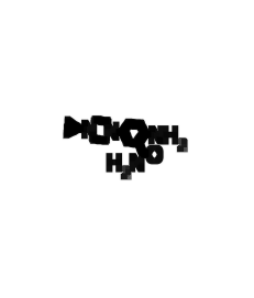 NC(=O)c1cc(N2CCN(C3CC3)CC2)ccc1N